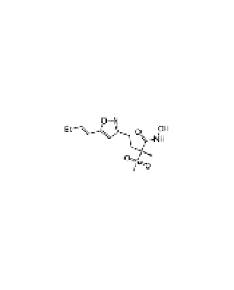 CCC=Cc1cc(CC[C@](C)(C(=O)NO)S(C)(=O)=O)no1